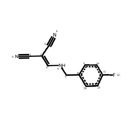 N#CC(C#N)=CNCc1ccc(F)cc1